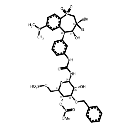 CCCC[C@]1(CC)CS(=O)(=O)c2ccc(N(C)C)cc2[C@H](c2cccc(NC(=O)N[C@@H]3O[C@H](COS(=O)(=O)O)[C@@H](OS(=O)OC)[C@H](OCc4ccccc4)[C@H]3O)c2)[C@@H]1O